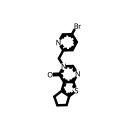 O=c1c2c3c(sc2ncn1Cc1ccc(Br)cn1)CCC3